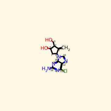 C=C1C(CO)C(O)CC1n1cnc2c(Cl)nc(N)nc21